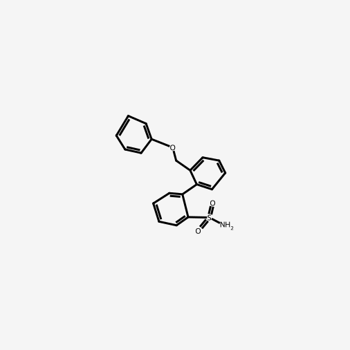 NS(=O)(=O)c1ccccc1-c1ccccc1COc1ccccc1